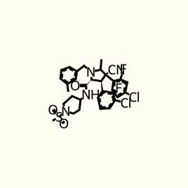 Cc1cccc(CN2C(C)[C@](C#N)(c3ccc(Cl)cc3F)[C@@H](c3cccc(Cl)c3F)[C@@H]2C(=O)NC2CCN(S(C)(=O)=O)CC2)c1